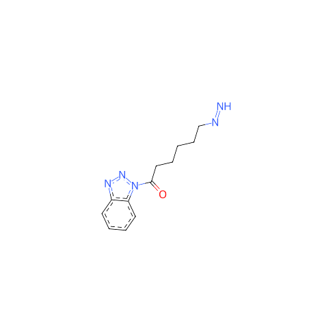 N=NCCCCCC(=O)n1nnc2ccccc21